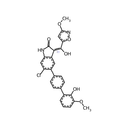 COc1cc(/C(O)=C2\C(=O)Nc3cc(Cl)c(-c4ccc(-c5cccc(OC)c5O)cc4)cc32)on1